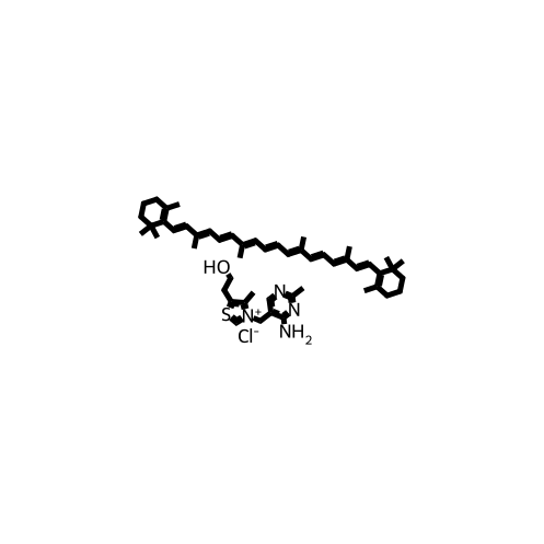 CC1=C(/C=C/C(C)=C/C=C/C(C)=C/C=C/C=C(C)/C=C/C=C(C)/C=C/C2=C(C)CCCC2(C)C)C(C)(C)CCC1.Cc1ncc(C[n+]2csc(CCO)c2C)c(N)n1.[Cl-]